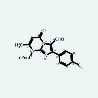 CCCCCn1c(C)cc(=O)n2c(C=O)c(-c3ccc(Cl)cc3)nc12